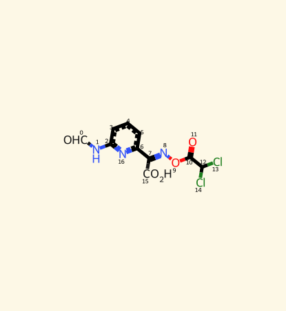 O=CNc1cccc(C(=NOC(=O)C(Cl)Cl)C(=O)O)n1